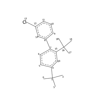 CC(C)(C)c1ccc(-c2cccc(Cl)c2)c(C(C)(C)C)c1